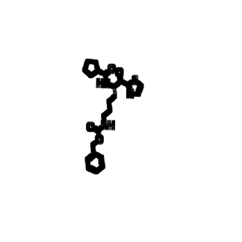 O=C(NCCCC[C@H](NC(=O)C1CCCC1)C(=O)c1nccs1)OCc1ccccc1